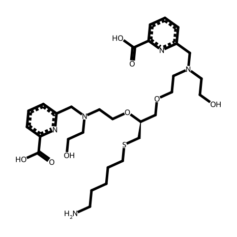 NCCCCCSC[C@H](COCCN(CCO)Cc1cccc(C(=O)O)n1)OCCN(CCO)Cc1cccc(C(=O)O)n1